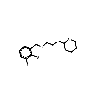 Fc1cccc(COCCOC2CCCCO2)c1Br